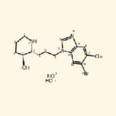 Cl.Cl.O[C@H]1CCCN[C@@H]1CCCn1cnc2cc(Cl)c(Br)cc21